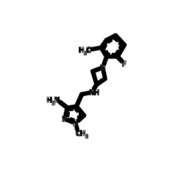 Cc1cccc(F)c1N1CC(NCc2cn(C)nc2N)C1